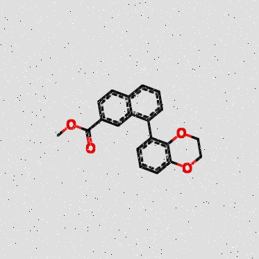 COC(=O)c1ccc2cccc(-c3cccc4c3OCCO4)c2c1